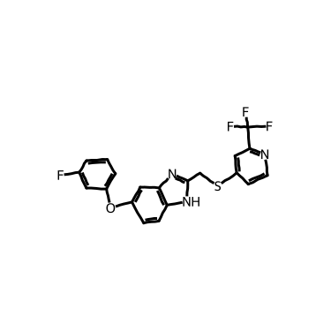 Fc1cccc(Oc2ccc3[nH]c(CSc4ccnc(C(F)(F)F)c4)nc3c2)c1